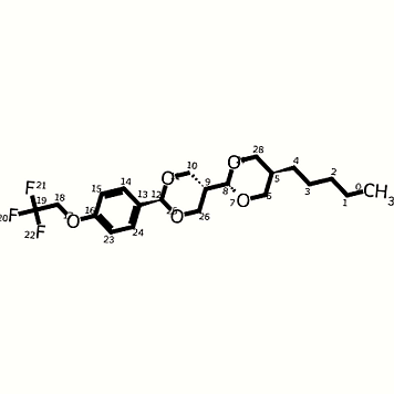 CCCCC[C@H]1CO[C@H]([C@H]2CO[C@H](c3ccc(OCC(F)(F)F)cc3)OC2)OC1